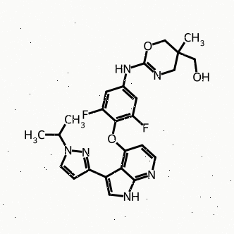 CC(C)n1ccc(-c2c[nH]c3nccc(Oc4c(F)cc(NC5=NCC(C)(CO)CO5)cc4F)c23)n1